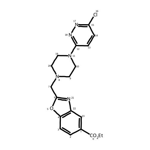 CCOC(=O)c1ccc2oc(CN3CCN(c4ccc(Cl)nn4)CC3)nc2c1